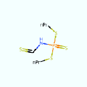 CCCSP(=S)(NC=S)SCCC